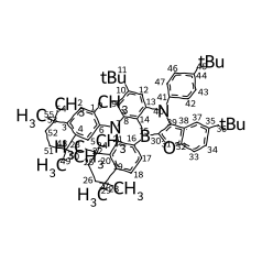 Cc1cc2c(cc1N1c3cc(C(C)(C)C)cc4c3B(c3ccc5c(c31)C(C)(C)CCC5(C)C)c1oc3ccc(C(C)(C)C)cc3c1N4c1ccc(C(C)(C)C)cc1)C(C)(C)CCC2(C)C